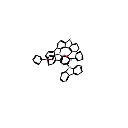 C1=c2oc3ccc4c5ccccc5n(-c5cccc(-c6ccccc6)c5)c4c3c2=C(c2nc(-c3ccc(-c4ccccc4)cc3)nc(-n3c4ccccc4c4ccccc43)n2)CC1